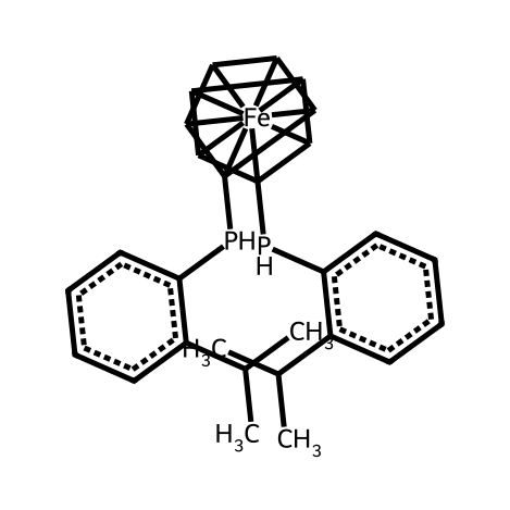 CC(C)c1ccccc1P[C]12[CH]3[CH]4[CH]5[CH]1[Fe]45321678[CH]2[CH]1[CH]6[C]7(Pc1ccccc1C(C)C)[CH]28